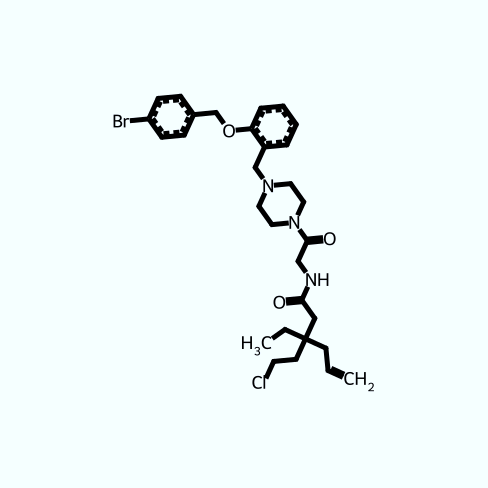 C=CCC(CC)(CCCl)CC(=O)NCC(=O)N1CCN(Cc2ccccc2OCc2ccc(Br)cc2)CC1